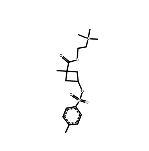 Cc1ccc(S(=O)(=O)OC2CC(C)(C(=O)OCC[Si](C)(C)C)C2)cc1